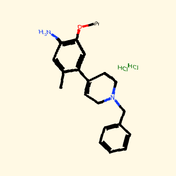 Cc1cc(N)c(OC(C)C)cc1C1=CCN(Cc2ccccc2)CC1.Cl.Cl